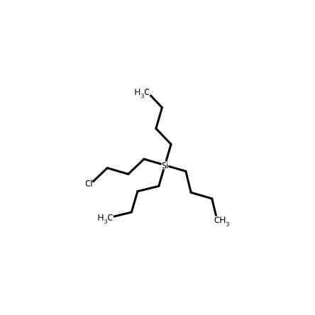 CCCC[Si](CCCC)(CCCC)CCCCl